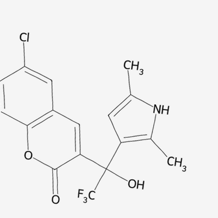 Cc1cc(C(O)(c2cc3cc(Cl)ccc3oc2=O)C(F)(F)F)c(C)[nH]1